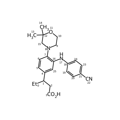 CCC(CC(=O)O)c1ccc(N2CCOC(C)(C)C2)c(Nc2ccc(C#N)cc2)c1